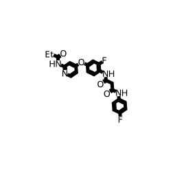 CCC(=O)Nc1cc(Oc2ccc(NC(=O)CC(=O)Nc3ccc(F)cc3)c(F)c2)ccn1